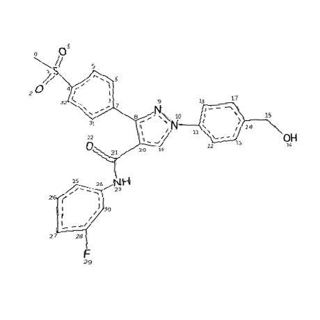 CS(=O)(=O)c1ccc(-c2nn(-c3ccc(CO)cc3)cc2C(=O)Nc2cccc(F)c2)cc1